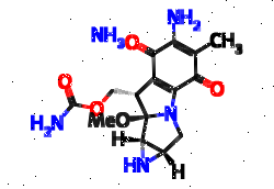 CO[C@@]12[C@H](COC(N)=O)C3=C(C(=O)C(C)=C(N)C3=O)N1C[C@@H]1N[C@@H]12.N